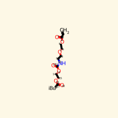 C=CC(=O)OCCOCCNC(=O)OCCOC(=O)C(C)CC